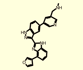 CNCc1cncc(-c2ccc3[nH]nc(-c4nc5c(-c6ccoc6)cccc5[nH]4)c3c2)c1